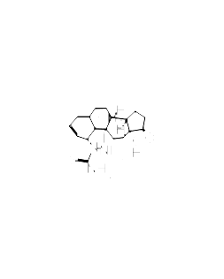 C[C@@]12C(CC=CC1N(N)C(N)=S)CC[C@@H]1[C@H]2CC[C@]2(C)C(=O)CC[C@@H]12